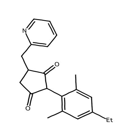 CCc1cc(C)c(C2C(=O)CC(Cc3ccccn3)C2=O)c(C)c1